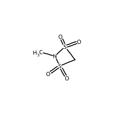 CN1S(=O)(=O)CS1(=O)=O